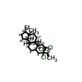 C=CC1(Cl)CC2CC[C@H]3[C@@H]4CC[C@H](CC)[C@@]4(C)CC[C@@H]3[C@@]2(C)CC1Cl